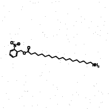 NCCCCCCCCCCCCCCCCCCC(=O)OCc1ccccc1[N+](=O)[O-]